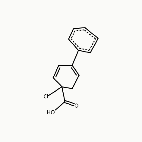 O=C(O)C1(Cl)C=CC(c2ccccc2)=CC1